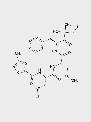 COC[C@H](NC(=O)c1cnc(C)s1)C(=O)N[C@@H](COC)C(=O)N[C@@H](Cc1ccccc1)C(=O)[C@](C)(O)CI